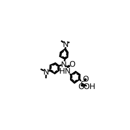 CN(C)c1ccc(N(C(=O)Nc2ccc(S(=O)(=O)O)cc2)c2ccc(N(C)C)cc2)cc1